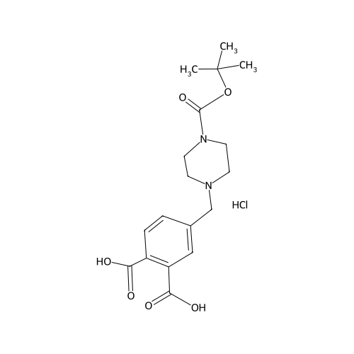 CC(C)(C)OC(=O)N1CCN(Cc2ccc(C(=O)O)c(C(=O)O)c2)CC1.Cl